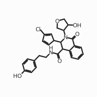 O=C(NCCc1ccc(O)cc1)C1c2ccccc2C(=O)N(C2COCC2O)C1C1C=CC(Cl)=C1